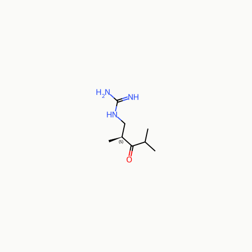 CC(C)C(=O)[C@@H](C)CNC(=N)N